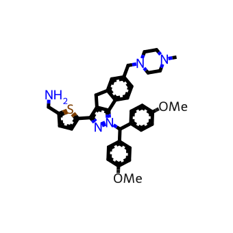 COc1ccc(C(c2ccc(OC)cc2)n2nc(-c3ccc(CN)s3)c3c2-c2ccc(CN4CCN(C)CC4)cc2C3)cc1